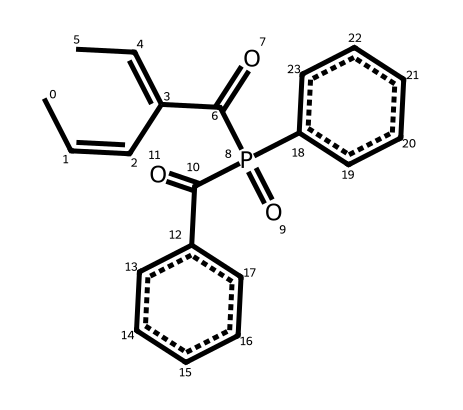 C/C=C\C(=C/C)C(=O)P(=O)(C(=O)c1ccccc1)c1ccccc1